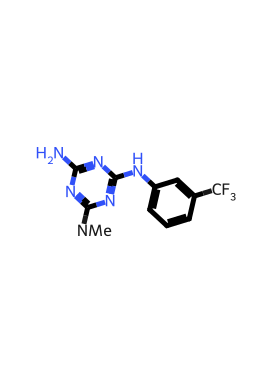 CNc1nc(N)nc(Nc2cccc(C(F)(F)F)c2)n1